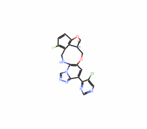 Fc1ccc2c3c1CNc1c(cc(-c4ncncc4Cl)c4nncn14)OC[C@@H]3CO2